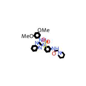 COc1cc(Nc2nc3ccccc3nc2N(c2cccc(NC(=O)CN3CCCCC3)c2)[SH](=O)=O)cc(OC)c1